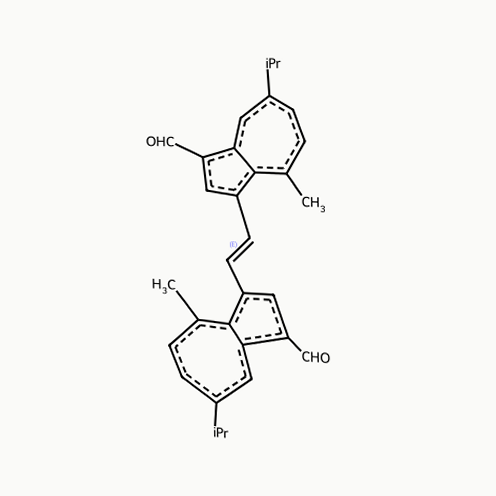 Cc1ccc(C(C)C)cc2c(C=O)cc(/C=C/c3cc(C=O)c4cc(C(C)C)ccc(C)c3-4)c1-2